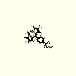 CCC1=C(C)/C(=C(\c2ccc(C(=O)OC)cc2)c2c(C)c(CC)c(C)n2B(F)F)N=C1C